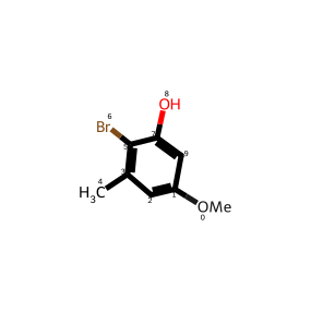 COc1cc(C)c(Br)c(O)c1